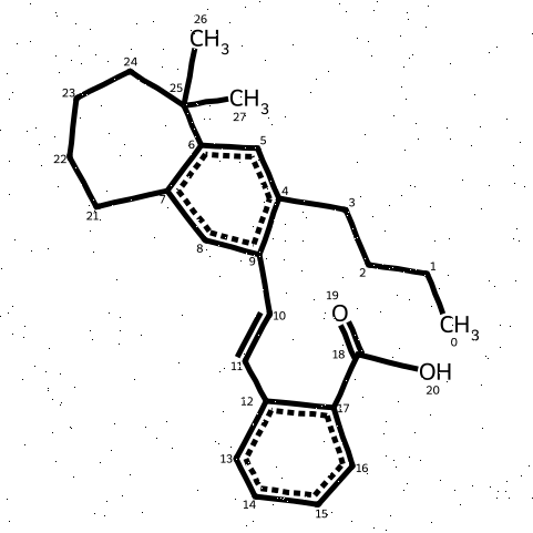 CCCCc1cc2c(cc1C=Cc1ccccc1C(=O)O)CCCCC2(C)C